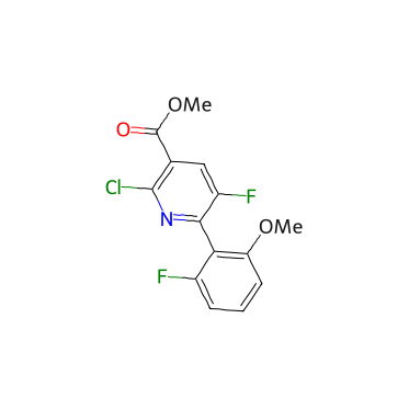 COC(=O)c1cc(F)c(-c2c(F)cccc2OC)nc1Cl